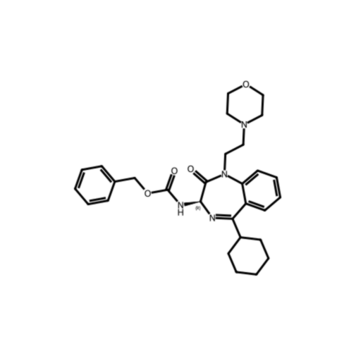 O=C(N[C@@H]1N=C(C2CCCCC2)c2ccccc2N(CCN2CCOCC2)C1=O)OCc1ccccc1